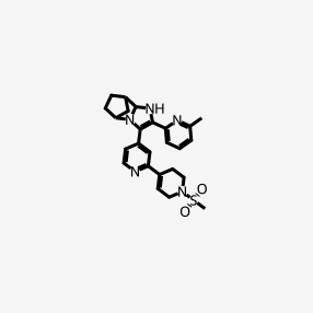 Cc1cccc(C2=C(c3ccnc(C4=CCN(S(C)(=O)=O)CC4)c3)N3C4CCC(C4)C3N2)n1